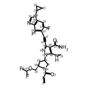 C=CC(=O)N1CC(n2nc(C#Cc3c(F)cc4c(ncn4C4CC4)c3F)c(C(N)=O)c2NC)C[C@@H]1COC(F)F